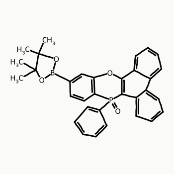 CC1(C)OB(c2ccc3c(c2)Oc2c(c4ccccc4c4ccccc24)P3(=O)c2ccccc2)OC1(C)C